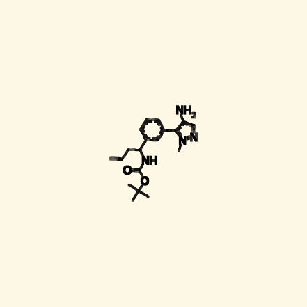 C=CCC(NC(=O)OC(C)(C)C)c1cccc(-c2c(N)cnn2C)c1